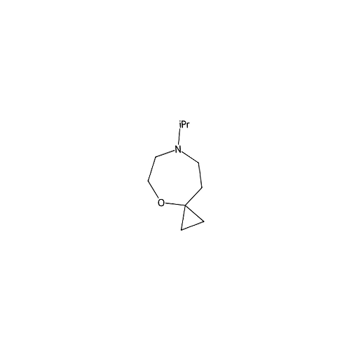 CC(C)N1CCOC2(CC1)CC2